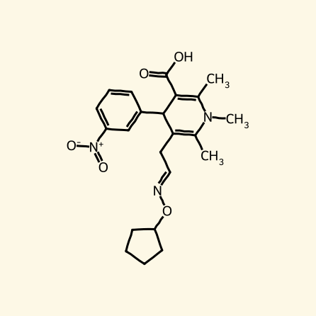 CC1=C(CC=NOC2CCCC2)C(c2cccc([N+](=O)[O-])c2)C(C(=O)O)=C(C)N1C